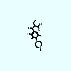 CCC(C(=O)O)C(=O)c1cc(F)c(N2CCN(C)CC2)c(F)c1F